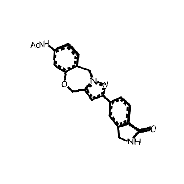 CC(=O)Nc1ccc2c(c1)OCc1cc(-c3ccc4c(c3)CNC4=O)nn1C2